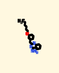 CCCCCCOc1cccc(Cc2nc(N)c3ccccc3n2)c1